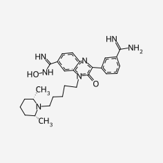 C[C@@H]1CCC[C@H](C)N1CCCCCn1c(=O)c(-c2cccc(C(=N)N)c2)nc2ccc(C(=N)NO)cc21